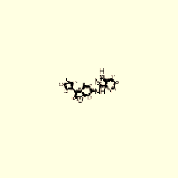 c1cnc2c(Nc3ccc4c(-c5ccsc5)coc4c3)n[nH]c2c1